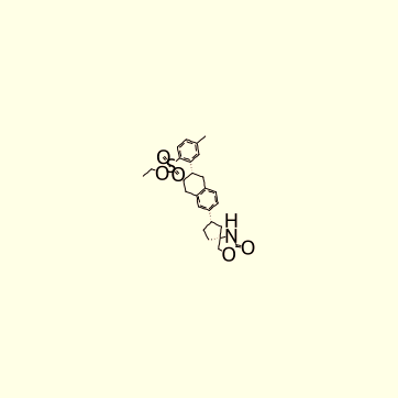 CCOS(=O)(=O)c1ccc(C)cc1[C@H]1CCc2cc([C@H]3CC[C@]4(COC(=O)N4)C3)ccc2C1